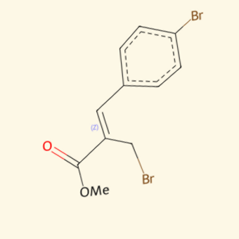 COC(=O)/C(=C/c1ccc(Br)cc1)CBr